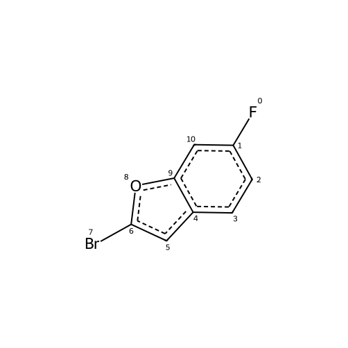 Fc1ccc2cc(Br)oc2c1